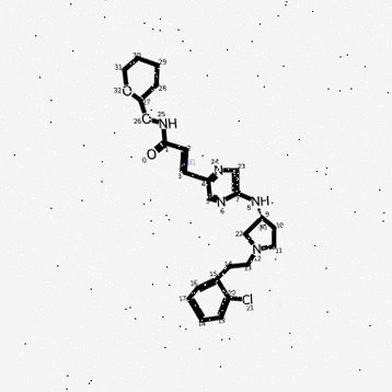 O=C(/C=C/c1cnc(N[C@@H]2CCN(CCc3ccccc3Cl)C2)cn1)NOC1CCCCO1